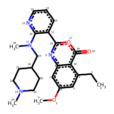 CCc1cc(OC)cc2nc(-c3cccnc3N(C)CC3CCN(C)CC3)oc(=O)c12